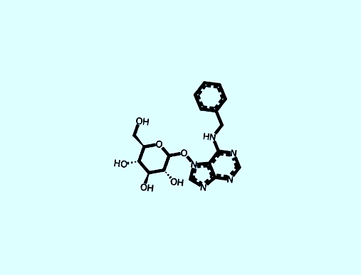 OC[C@H]1OC(On2cnc3ncnc(NCc4ccccc4)c32)[C@H](O)[C@@H](O)[C@@H]1O